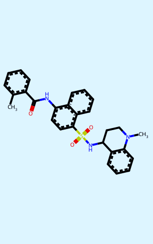 Cc1ccccc1C(=O)Nc1ccc(S(=O)(=O)NC2CCN(C)c3ccccc32)c2ccccc12